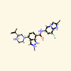 C=C(C)[C@H]1CN(c2ccc(C(=O)Nc3cc(F)c4nc(C)cn4c3)c3nn(C)cc23)CCN1